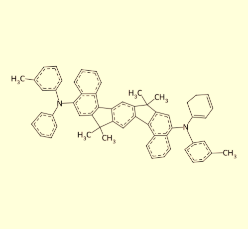 Cc1cccc(N(C2=CC=CCC2)c2cc3c(c4ccccc24)-c2cc4c(cc2C3(C)C)-c2c(cc(N(c3ccccc3)c3cccc(C)c3)c3ccccc23)C4(C)C)c1